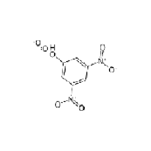 O=[N+]([O-])c1cc(O)cc([N+](=O)[O-])c1.[O].[O]